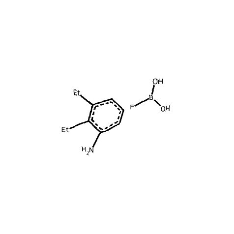 CCc1cccc(N)c1CC.OB(O)F